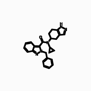 O=C(c1c2ccccc2nn1Cc1ccccc1)N(C1CC1)C1CCc2[nH]ncc2C1